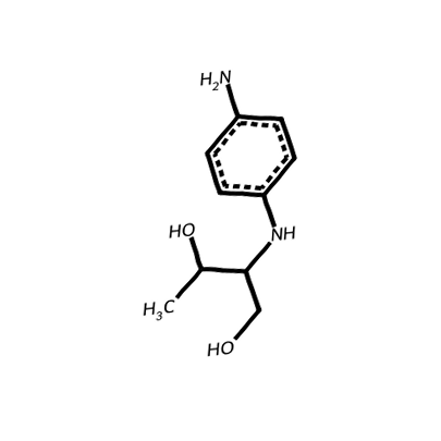 CC(O)C(CO)Nc1ccc(N)cc1